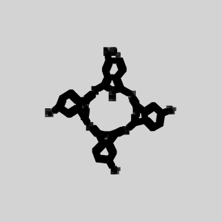 O=[N+]([O-])c1ccc2c3nc4nc(nc5[nH]c(nc6nc(nc([nH]3)c2c1)-c1ccc(Br)cc1-6)c1ccc(Br)cc51)-c1ccc(Br)cc1-4